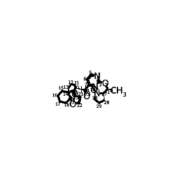 C[C@H](Oc1nccc(C(=O)[C@@H]2CCC[C@@]3(CCCCC34OCCO4)C2=O)n1)[C@@H]1CCCN1C